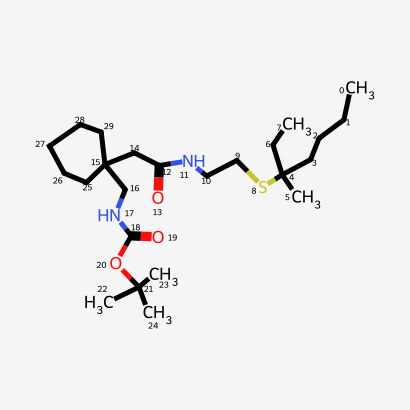 CCCCC(C)(CC)SCCNC(=O)CC1(CNC(=O)OC(C)(C)C)CCCCC1